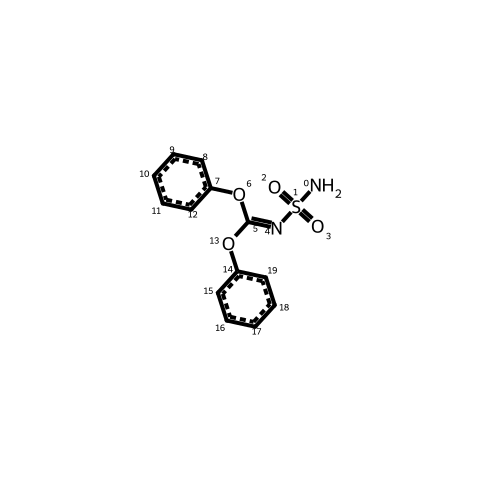 NS(=O)(=O)N=C(Oc1ccccc1)Oc1ccccc1